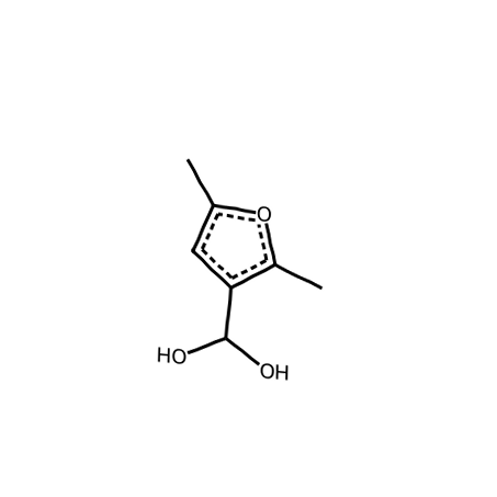 Cc1cc(C(O)O)c(C)o1